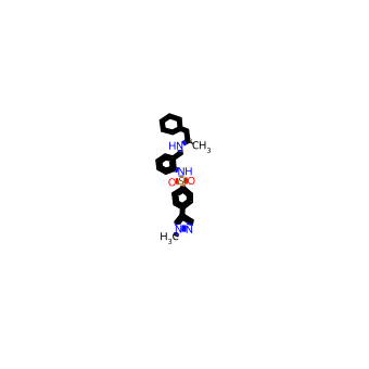 C[C@@H](CC1CCCCC1)NCc1ccccc1NS(=O)(=O)c1ccc(-c2cnn(C)c2)cc1